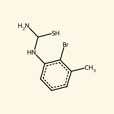 Cc1cccc(NC(N)S)c1Br